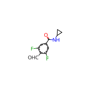 O=Cc1c(F)cc(C(=O)NC2CC2)cc1F